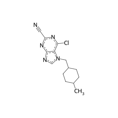 CC1CCC(Cn2cnc3nc(C#N)nc(Cl)c32)CC1